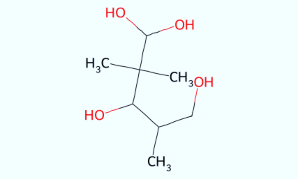 CC(CO)C(O)C(C)(C)C(O)O